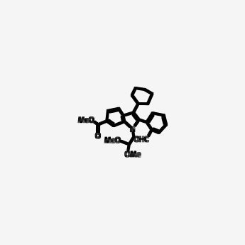 COC(=O)c1ccc2c(C3CCCCC3)c(-c3ccccc3C=O)n(CC(OC)OC)c2c1